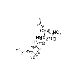 C=CCCOc1nc(NC(=O)Nc2cc(Cl)c([N+](=O)[O-])cc2OCC=C)cnc1C#N